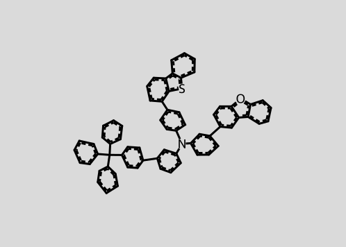 c1ccc(C(c2ccccc2)(c2ccccc2)c2ccc(-c3cccc(N(c4ccc(-c5cccc6c5sc5ccccc56)cc4)c4cccc(-c5ccc6oc7ccccc7c6c5)c4)c3)cc2)cc1